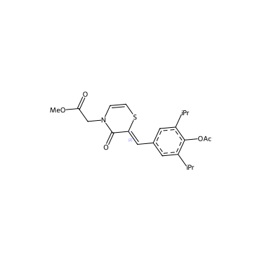 COC(=O)CN1C=CS/C(=C\c2cc(C(C)C)c(OC(C)=O)c(C(C)C)c2)C1=O